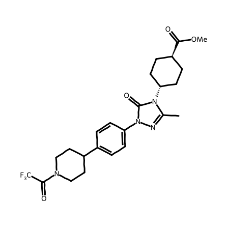 COC(=O)[C@H]1CC[C@H](n2c(C)nn(-c3ccc(C4CCN(C(=O)C(F)(F)F)CC4)cc3)c2=O)CC1